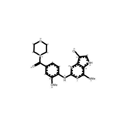 CNc1nc(Nc2ccc(C(=O)N3CCOCC3)cc2OC)nc2c(Cl)c[nH]c12